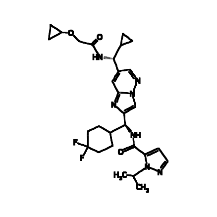 CC(C)n1nccc1C(=O)N[C@H](c1cn2ncc([C@H](NC(=O)COC3CC3)C3CC3)cc2n1)C1CCC(F)(F)CC1